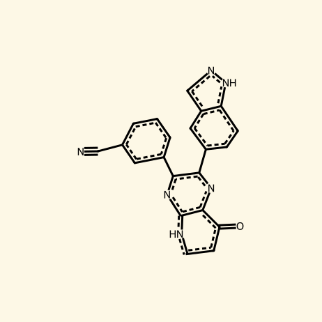 N#Cc1cccc(-c2nc3[nH]ccc(=O)c3nc2-c2ccc3[nH]ncc3c2)c1